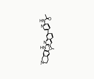 COc1cc2c(cc1Nc1ncc3ccc(-c4ccc(NC(C)=O)nc4)cc3n1)CN(C)CC2